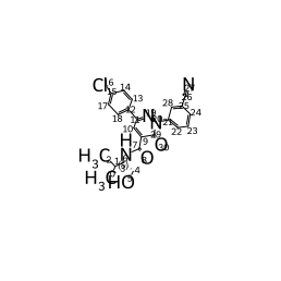 CC(C)[C@@H](CO)NC(=O)c1cc(-c2ccc(Cl)cc2)nn(-c2cccc(C#N)c2)c1=O